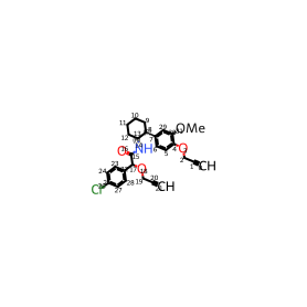 C#CCOc1ccc([C@@H]2CCCC[C@H]2NC(=O)C(OCC#C)c2ccc(Cl)cc2)cc1OC